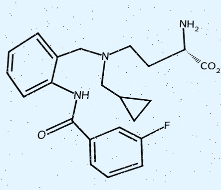 N[C@@H](CCN(Cc1ccccc1NC(=O)c1cccc(F)c1)CC1CC1)C(=O)O